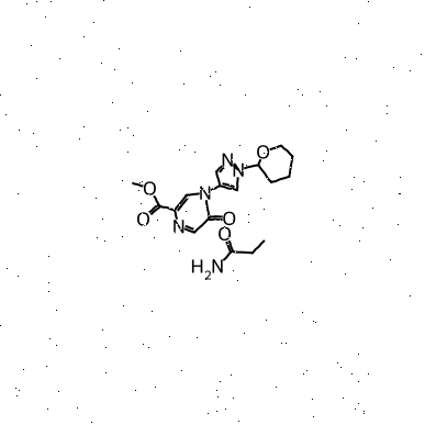 CCC(N)=O.COC(=O)c1cn(-c2cnn(C3CCCCO3)c2)c(=O)cn1